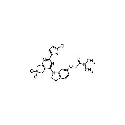 CN(C)C(=O)COc1ccc2c(c1)N(c1nc(-c3ccc(Cl)s3)nc3c1CS(=O)(=O)C3)CC2